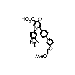 COCCO[C@@H]1CCN(c2ccc(-c3cc(=O)c(C(=O)O)cn3-c3ccc4nc(C)sc4c3)cc2)C1